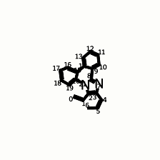 C=Cc1c(/C=C\C)nc2c3ccccc3c3ccccc3n12